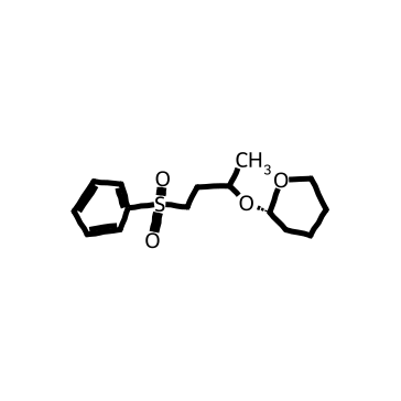 CC(CCS(=O)(=O)c1ccccc1)O[C@H]1CCCCO1